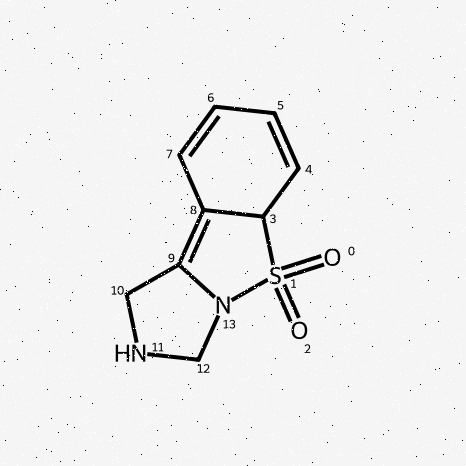 O=S1(=O)C2C=CC=CC2=C2CNCN21